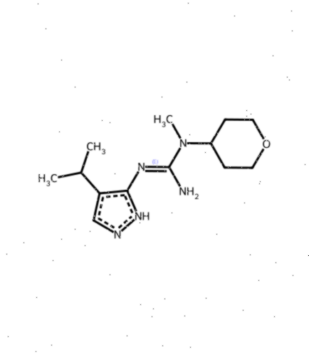 CC(C)c1cn[nH]c1/N=C(\N)N(C)C1CCOCC1